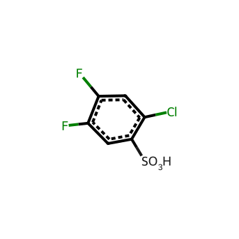 O=S(=O)(O)c1cc(F)c(F)cc1Cl